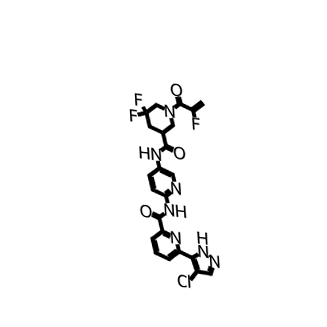 C=C(F)C(=O)N1CC(C(=O)Nc2ccc(NC(=O)c3cccc(-c4[nH]ncc4Cl)n3)nc2)CC(F)(F)C1